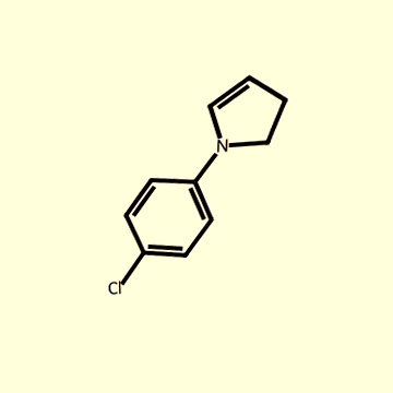 Clc1ccc(N2C=CCC2)cc1